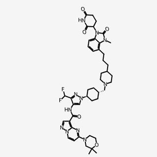 Cn1c(=O)n(C2CCC(=O)NC2=O)c2cccc(CCCC3CCN(C[C@H]4CC[C@H](n5cc(NC(=O)c6cnn7ccc(N8CCOC(C)(C)C8)nc67)c(C(F)F)n5)CC4)CC3)c21